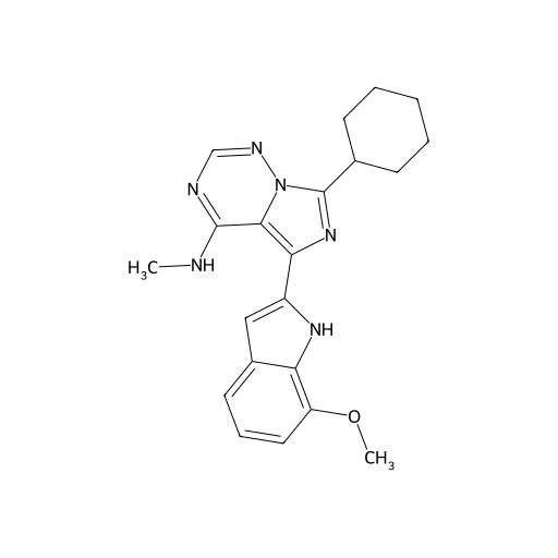 CNc1ncnn2c(C3CCCCC3)nc(-c3cc4cccc(OC)c4[nH]3)c12